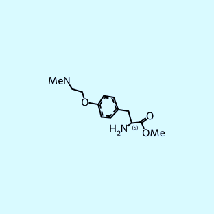 CNCCOc1ccc(C[C@H](N)C(=O)OC)cc1